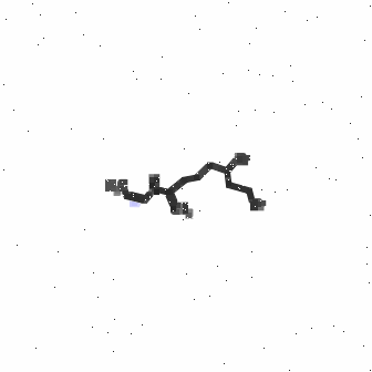 C=C(CCCC(CCC(C)C)C(C)C)N/C=C\C